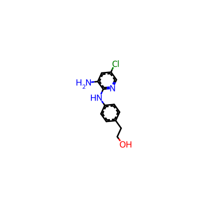 Nc1cc(Cl)cnc1Nc1ccc(CCO)cc1